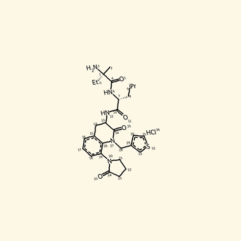 CC[C@@](C)(N)C(=O)N[C@H](CC(C)C)C(=O)NC1Cc2cccc(N3CCCC3=O)c2N(Cc2ccsc2)C1=O.Cl